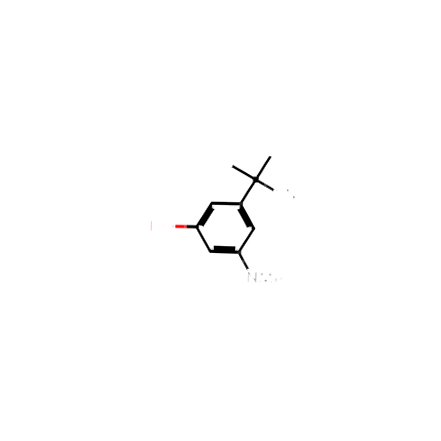 CNc1cc(O)cc(C(C)(C)C#N)c1